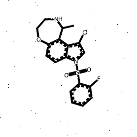 CC1NCCOc2ccc3c(c(Cl)cn3S(=O)(=O)c3ccccc3F)c21